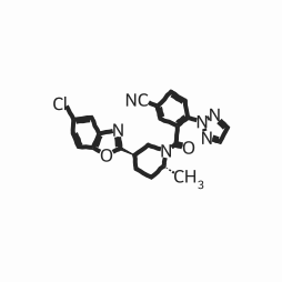 C[C@@H]1CC[C@@H](c2nc3cc(Cl)ccc3o2)CN1C(=O)c1cc(C#N)ccc1-n1nccn1